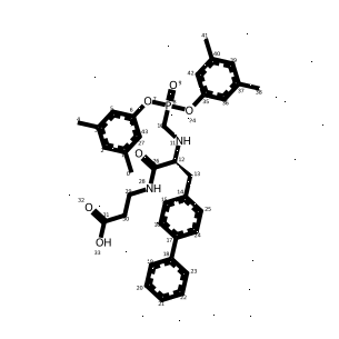 Cc1cc(C)cc(OP(=O)(CN[C@@H](Cc2ccc(-c3ccccc3)cc2)C(=O)NCCC(=O)O)Oc2cc(C)cc(C)c2)c1